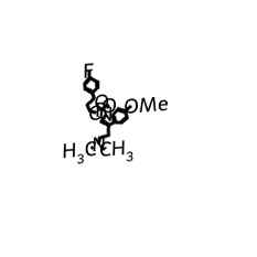 COc1ccc2c(CCN(C)C)cn(P3(=O)OCCC(c4ccc(F)cc4)O3)c2c1